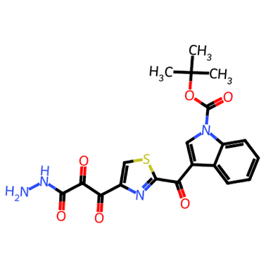 CC(C)(C)OC(=O)n1cc(C(=O)c2nc(C(=O)C(=O)C(=O)NN)cs2)c2ccccc21